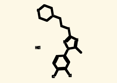 Cc1nc(SCCN2CCOCC2)nn1-c1ccc(Cl)c(Cl)c1.Cl